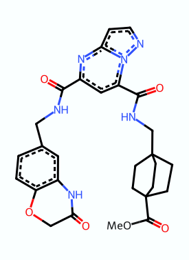 COC(=O)C12CCC(CNC(=O)c3cc(C(=O)NCc4ccc5c(c4)NC(=O)CO5)nc4ccnn34)(CC1)CC2